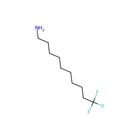 NCCCCCCCCCC(F)(F)F